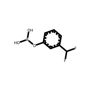 OB(O)Oc1cccc(C(F)F)c1